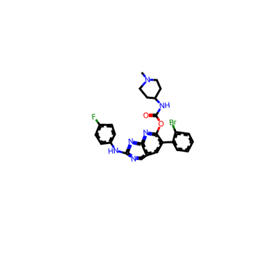 CN1CCC(NC(=O)Oc2nc3nc(Nc4ccc(F)cc4)ncc3cc2-c2ccccc2Br)CC1